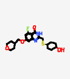 O=c1[nH]c(CS[C@H]2CC[C@H](O)CC2)nc2cc(OCC3CCOCC3)cc(F)c12